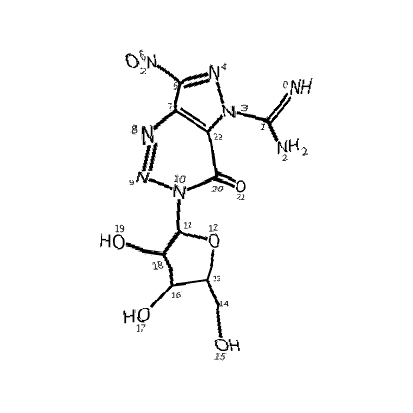 N=C(N)n1nc([N+](=O)[O-])c2nnn(C3OC(CO)C(O)C3O)c(=O)c21